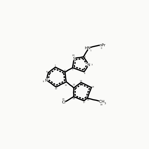 CCCNc1ncc(-c2ccncc2-c2ccc(C)cc2Cl)s1